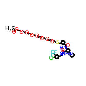 CC(=O)OCCOCCOCCOCCOCCOCCOCCOCCSCc1cccc(C(=O)Nc2ccc(N3CCCCC3)cc2C(=O)NN=Cc2ccc(Cl)c(C(F)(F)F)c2)c1